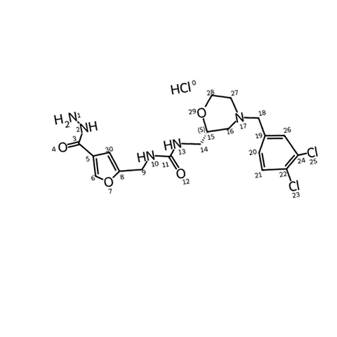 Cl.NNC(=O)c1coc(CNC(=O)NC[C@H]2CN(Cc3ccc(Cl)c(Cl)c3)CCO2)c1